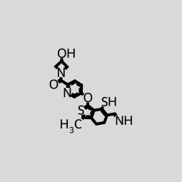 Cc1sc(Oc2ccc(C(=O)N3CC(O)C3)nc2)c2c1CCC(C=N)=C2S